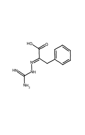 N=C(N)N/N=C(\Cc1ccccc1)C(=O)O